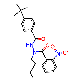 CCCCN(NC(=O)c1ccc(C(C)(C)C)cc1)C(=O)c1ccccc1[N+](=O)[O-]